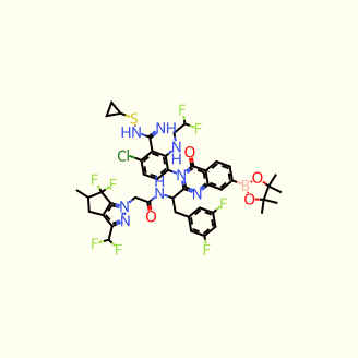 CC1Cc2c(C(F)F)nn(CC(=O)NC(Cc3cc(F)cc(F)c3)c3nc4cc(B5OC(C)(C)C(C)(C)O5)ccc4c(=O)n3-c3ccc(Cl)c(C(=N)NSC4CC4)c3NCC(F)F)c2C1(F)F